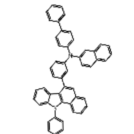 c1ccc(-c2ccc(N(c3cccc(-c4cc5ccccc5c5c4c4ccccc4n5-c4ccccc4)c3)c3ccc4ccccc4c3)cc2)cc1